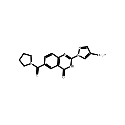 CCOC(=O)c1cnn(-c2nc3ccc(C(=O)N4CCCC4)cc3c(=O)[nH]2)c1